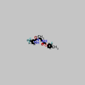 C=C(CCNC(=O)COc1ccc(C)c(F)c1)NC(=O)c1cc(C(F)(F)F)ccn1